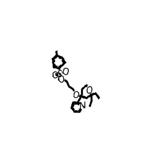 CCC1(CC)CC(OCCCOS(=O)(=O)c2ccc(C)cc2)(c2ccccn2)CCO1